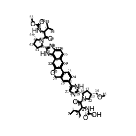 CCC(C)C(NC(=O)O)C(=O)N1C[C@@H](COC)C[C@H]1c1ncc(-c2ccc3c(c2)COc2cc4c(ccc5nc([C@@H]6CC[C@H](C)N6C(=O)C(NC(=O)OC)C(C)C)[nH]c54)cc2-3)[nH]1